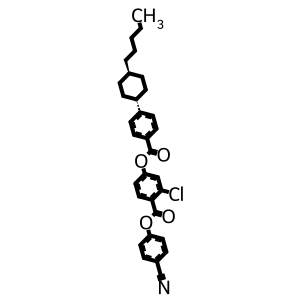 CCCCC[C@H]1CC[C@H](c2ccc(C(=O)Oc3ccc(C(=O)Oc4ccc(C#N)cc4)c(Cl)c3)cc2)CC1